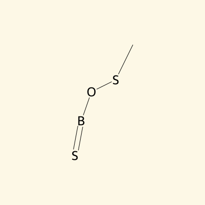 CSOB=S